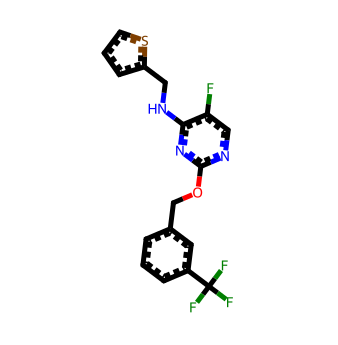 Fc1cnc(OCc2cccc(C(F)(F)F)c2)nc1NCc1cccs1